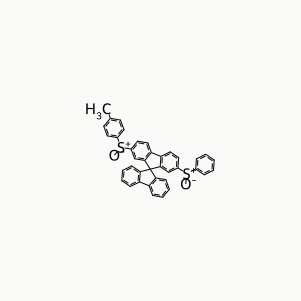 Cc1ccc([S+]([O-])c2ccc3c(c2)C2(c4ccccc4-c4ccccc42)c2cc([S+]([O-])c4ccccc4)ccc2-3)cc1